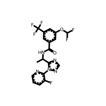 CC(NC(=O)c1cc(OC(F)F)cc(C(F)(F)F)c1)c1ncnn1-c1ncccc1F